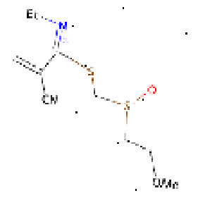 C=C(C#N)/C(=N\CC)SC[S+]([O-])CCOC